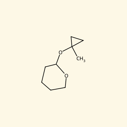 CC1(OC2CCCCO2)CC1